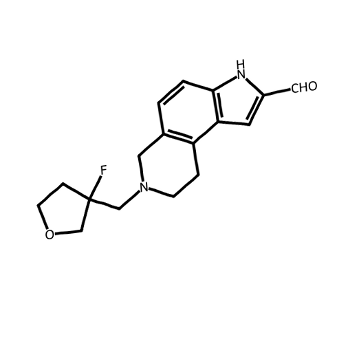 O=Cc1cc2c3c(ccc2[nH]1)CN(CC1(F)CCOC1)CC3